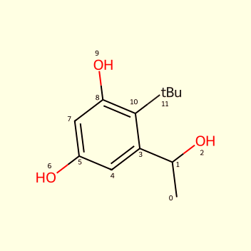 CC(O)c1cc(O)cc(O)c1C(C)(C)C